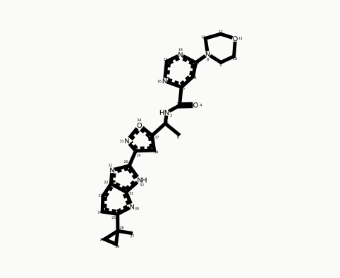 CC(NC(=O)c1cc(N2CCOCC2)ncn1)c1cc(-c2nc3ccc(C4(C)CC4)nc3[nH]2)no1